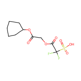 O=C(COC(=O)C(F)(F)S(=O)(=O)O)OC1CCCCC1